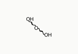 OCC=CCOCC=CCO